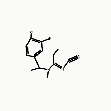 CC/C(=N\C#N)N(C)C(C)c1ccc(Cl)c(F)c1